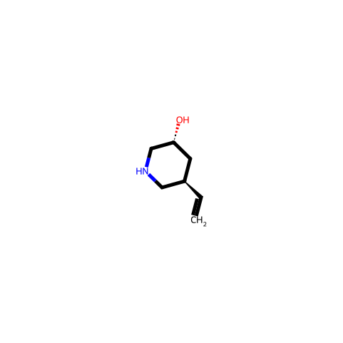 C=C[C@H]1CNC[C@H](O)C1